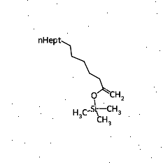 C=C(CCCCCCCCCCCC)O[Si](C)(C)C